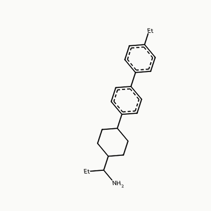 CCc1ccc(-c2ccc(C3CCC(C(N)CC)CC3)cc2)cc1